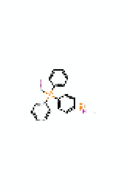 I.IC[P+](c1ccccc1)(c1ccccc1)c1ccccc1.P.[I-]